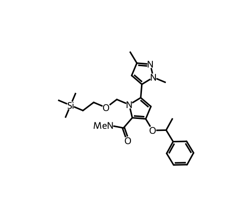 CNC(=O)c1c(OC(C)c2ccccc2)cc(-c2cc(C)nn2C)n1COCC[Si](C)(C)C